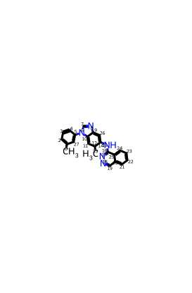 Cc1cc#cc(-n2cnc3c2=CC(C)C(Nc2nncc4ccccc24)=C=3)c1